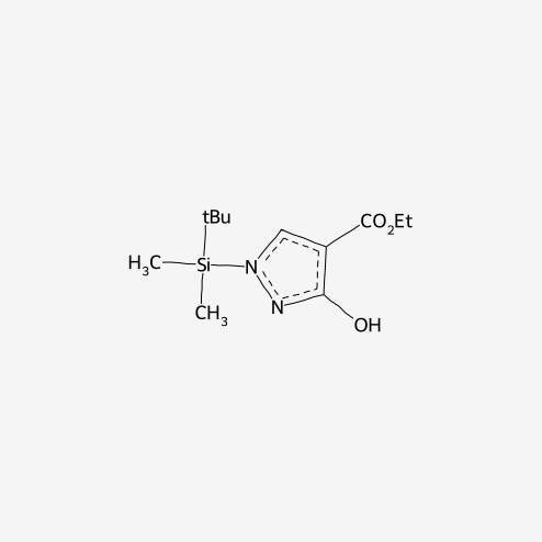 CCOC(=O)c1cn([Si](C)(C)C(C)(C)C)nc1O